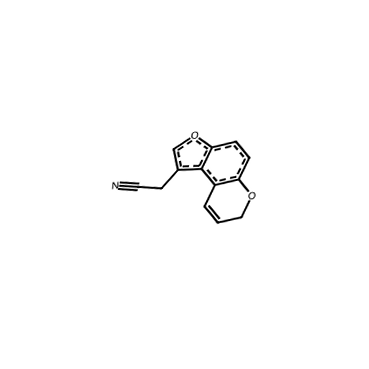 N#CCc1coc2ccc3c(c12)C=CCO3